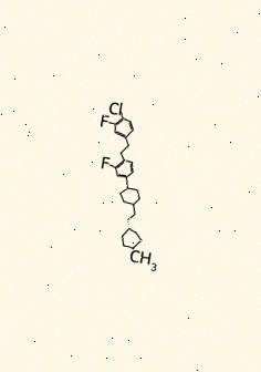 C[C@H]1CC[C@H](CCC2CCC(c3ccc(CCc4ccc(Cl)c(F)c4)c(F)c3)CC2)CC1